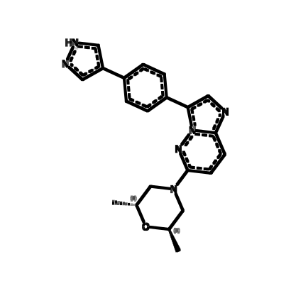 C[C@@H]1CN(c2ccc3ncc(-c4ccc(-c5cn[nH]c5)cc4)n3n2)C[C@@H](C)O1